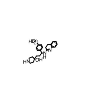 Br.OC1(CCC(NC2=Nc3ccccc3CC2)c2ccc(Cl)cc2)CCNCC1